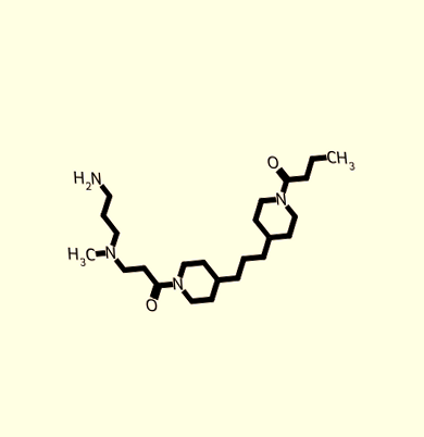 CCCC(=O)N1CCC(CCCC2CCN(C(=O)CCN(C)CCCN)CC2)CC1